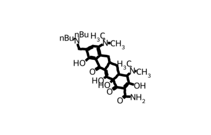 CCCCN(CCCC)Cc1cc(N(C)C)c2c(c1O)C(=O)C1=C(O)C3(O)C(=O)C(C(N)=O)=C(O)C(N(C)C)C3CC1C2